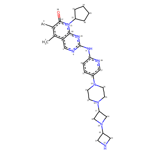 CC(=O)c1c(C)c2cnc(Nc3ccc(N4CCN(C5CN(C6CNC6)C5)CC4)cn3)nc2n(C2CCCC2)c1=O